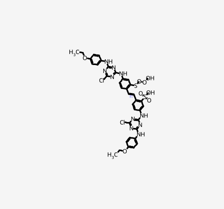 CCOc1ccc(Nc2nc(Cl)nc(Nc3ccc(/C=C/c4ccc(Nc5nc(Cl)nc(Nc6ccc(OCC)cc6)n5)cc4S(=O)(=O)O)c(SOOO)c3)n2)cc1